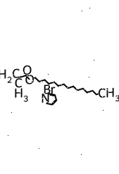 C=C(C)C(=O)OCCCC(Br)CCCCCCCCCCC.c1ccncc1